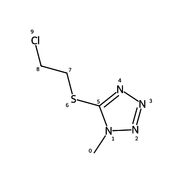 Cn1nnnc1SCCCl